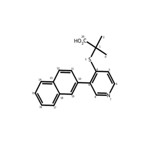 CC(C)(Sc1ccncc1-c1ccc2ccccc2c1)C(=O)O